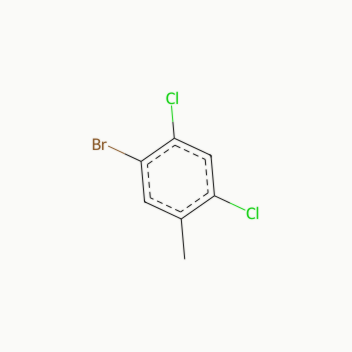 Cc1cc(Br)c(Cl)cc1Cl